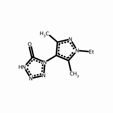 CCn1nc(C)c(-n2nn[nH]c2=O)c1C